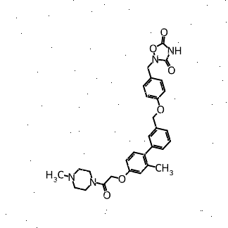 Cc1cc(OCC(=O)N2CCN(C)CC2)ccc1-c1cccc(COc2ccc(Cn3oc(=O)[nH]c3=O)cc2)c1